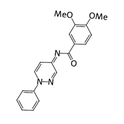 COc1ccc(C(=O)N=c2ccn(-c3ccccc3)nc2)cc1OC